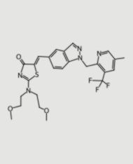 COCCN(CCOC)C1=NC(=O)/C(=C/c2ccc3c(cnn3Cc3ncc(C)cc3C(F)(F)F)c2)S1